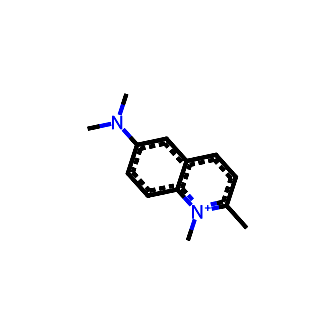 Cc1ccc2cc(N(C)C)ccc2[n+]1C